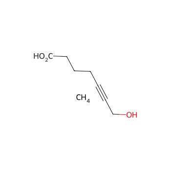 C.O=C(O)CCCC#CCO